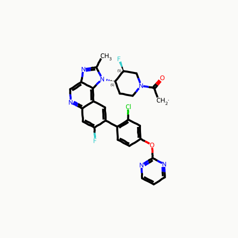 [CH2]C(=O)N1CC[C@H](n2c(C)nc3cnc4cc(F)c(-c5ccc(Oc6ncccn6)cc5Cl)cc4c32)[C@@H](F)C1